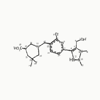 CCc1nc(C2=C(CO)N(C)N(C)N2)ccc1CN1CC(C(=O)O)CC(F)(F)C1